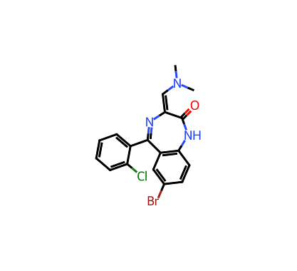 CN(C)C=C1N=C(c2ccccc2Cl)c2cc(Br)ccc2NC1=O